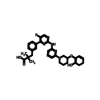 CC(C)(Cc1cccc(-c2nc(Nc3cncc(N4CCCC(OC5=C(O)CCC=C5)C4)n3)ncc2F)c1)C(=O)O